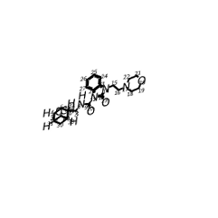 CC1(C)[C@H]2CC[C@@H](CNC(=O)n3c(=O)n(CCN4CCOCC4)c4ccccc43)[C@H]1C2